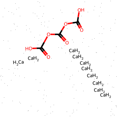 O=C(O)OC(=O)OC(=O)O.[CaH2].[CaH2].[CaH2].[CaH2].[CaH2].[CaH2].[CaH2].[CaH2].[CaH2].[CaH2]